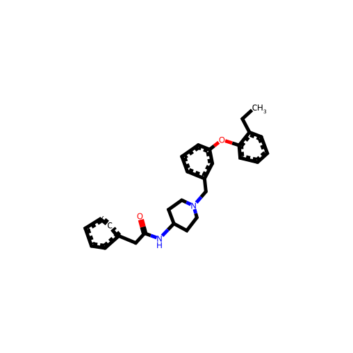 CCc1ccccc1Oc1cccc(CN2CCC(NC(=O)Cc3ccccc3)CC2)c1